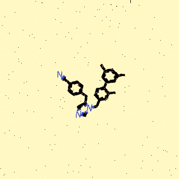 Cc1cc(C)cc(-c2ccc(Cn3cncc3Cc3ccc(C#N)cc3)cc2C)c1